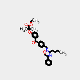 CCCCC1=NC(c2ccccc2)CON1Cc1ccc(C(=O)c2cccc(OC(C)(C)C(=O)OCC)c2)cc1